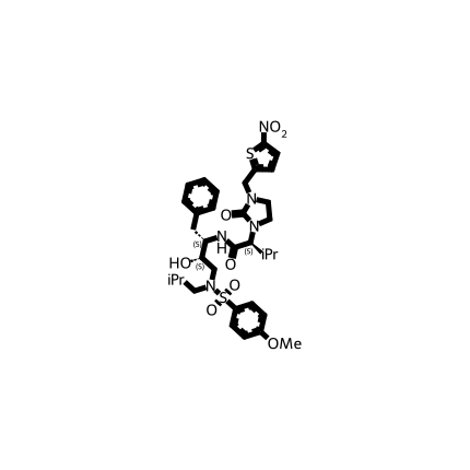 COc1ccc(S(=O)(=O)N(CC(C)C)C[C@H](O)[C@H](Cc2ccccc2)NC(=O)[C@H](C(C)C)N2CCN(Cc3ccc([N+](=O)[O-])s3)C2=O)cc1